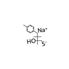 Cc1ccc(CC(C)(C)C(C)(O)C[S-])cc1.[Na+]